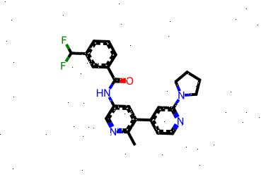 Cc1ncc(NC(=O)c2cccc(C(F)F)c2)cc1-c1ccnc(N2CCCC2)c1